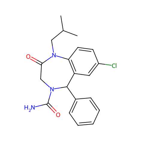 CC(C)CN1C(=O)CN(C(N)=O)C(c2ccccc2)c2cc(Cl)ccc21